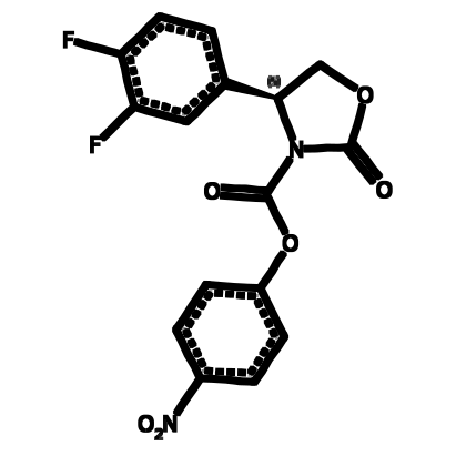 O=C1OC[C@H](c2ccc(F)c(F)c2)N1C(=O)Oc1ccc([N+](=O)[O-])cc1